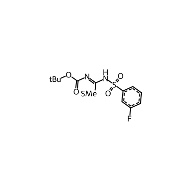 CS/C(=N\C(=O)OC(C)(C)C)NS(=O)(=O)c1cccc(F)c1